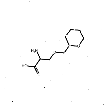 NC(COCC1CCCCO1)C(=O)O